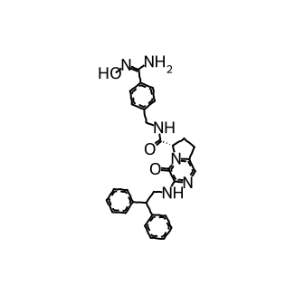 N/C(=N/O)c1ccc(CNC(=O)[C@@H]2CCc3cnc(NCC(c4ccccc4)c4ccccc4)c(=O)n32)cc1